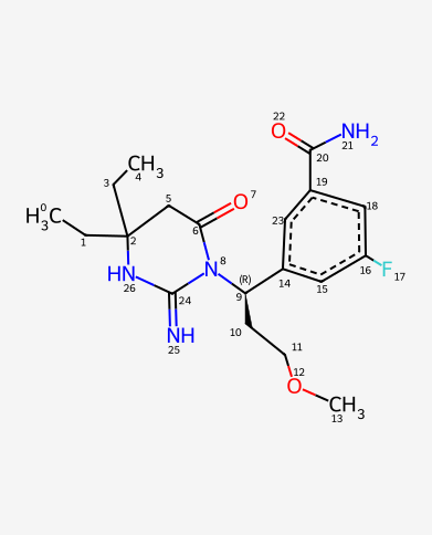 CCC1(CC)CC(=O)N([C@H](CCOC)c2cc(F)cc(C(N)=O)c2)C(=N)N1